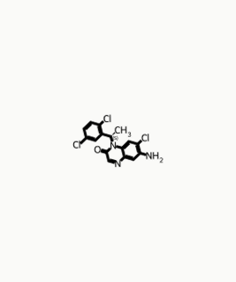 C[C@@H](c1cc(Cl)ccc1Cl)n1c(=O)cnc2cc(N)c(Cl)cc21